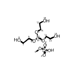 COS(=O)(=O)O.OCCON(OCCO)OCCO